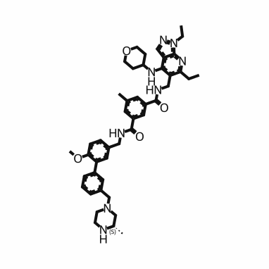 CCc1nc2c(cnn2CC)c(NC2CCOCC2)c1CNC(=O)c1cc(C)cc(C(=O)NCc2ccc(OC)c(-c3cccc(CN4CCN[C@@H](C)C4)c3)c2)c1